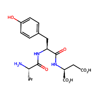 CC(C)[C@H](N)C(=O)N[C@@H](Cc1ccc(O)cc1)C(=O)N[C@@H](CC(=O)O)C(=O)O